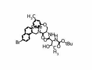 COc1ccc2cc(Br)ccc2c1CN1C(=O)[C@@H](NC(=O)[C@@H](NC(=O)OC(C)(C)C)[C@H](C)O)COc2cc(C)ccc21